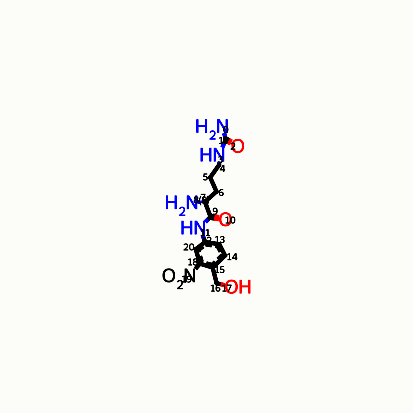 NC(=O)NCCC[C@H](N)C(=O)Nc1ccc(CO)c([N+](=O)[O-])c1